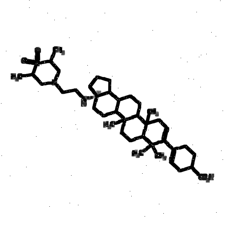 CC1CN(CCN[C@]23CCCC2C2CCC4C(C)(CCC5C(C)(C)C(C6=CCC(C(=O)O)CC6)=CCC54C)C2CC3)CC(C)S1(=O)=O